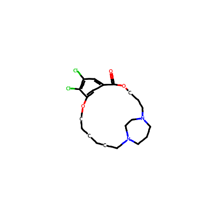 O=C1OCCCN2CCCN(CCCCCCOc3cc1cc(Cl)c3Cl)CC2